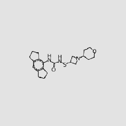 O=C(NSC1CN(C2CCOCC2)C1)Nc1c2c(cc3c1CCC3)CCC2